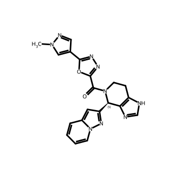 Cn1cc(-c2nnc(C(=O)N3CCc4[nH]cnc4[C@H]3c3cc4ccccn4n3)o2)cn1